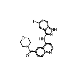 [O-][S+](c1ccc2nccc(Nc3n[nH]c4ccc(F)cc34)c2c1)N1CCOCC1